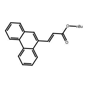 CCCCOC(=O)/C=C/c1cc2ccccc2c2ccccc12